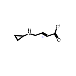 O=C(Cl)/C=C/CNC1CC1